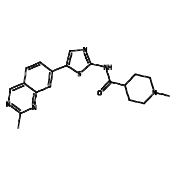 Cc1ncc2ccc(-c3cnc(NC(=O)C4CCN(C)CC4)s3)cc2n1